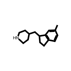 Cc1ccc2c(c1)C(CC1CCNCC1)CC2